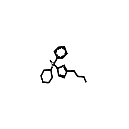 CCCCC1=C[C]([Si](C)(c2ccccc2)C2CCCCC2)C=C1